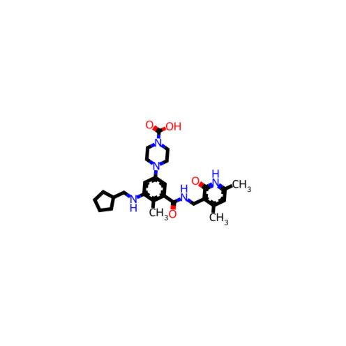 Cc1cc(C)c(CNC(=O)c2cc(N3CCN(C(=O)O)CC3)cc(NCC3CCCC3)c2C)c(=O)[nH]1